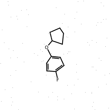 Fc1ccc(OC2CCCC2)cc1